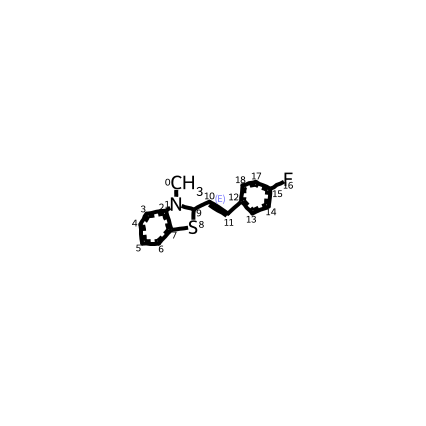 CN1c2ccccc2SC1/C=C/c1ccc(F)cc1